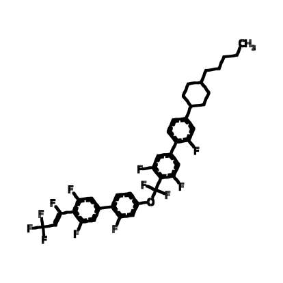 CCCCCC1CCC(c2ccc(-c3cc(F)c(C(F)(F)Oc4ccc(-c5cc(F)c(/C(F)=C/C(F)(F)F)c(F)c5)c(F)c4)c(F)c3)c(F)c2)CC1